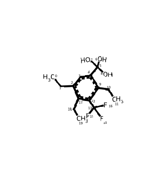 CCc1cc(C(O)(O)O)c(CC)c(C(F)(F)F)c1CC